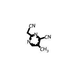 Cc1cnc(CC#N)nc1C#N